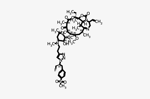 C=CC1CN=C2[C@H](C)C[C@@](C)(OC)[C@H](O[C@@H]3O[C@H](C)C[C@H](N(C)CCc4cn([C@H](CF)Cc5ccc(S(C)(=O)=O)cc5)nn4)[C@H]3O)[C@@H](C)C(=O)[C@@H](C)C(=O)O[C@H](CC)[C@@]3(C)OC(=O)N1[C@@H]3[C@H]2C